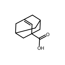 O=C(O)C12C=C3CC(CC(C3)C1)C2